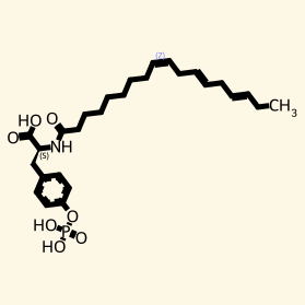 CCC=CCC=CC/C=C\CCCCCCCC(=O)N[C@@H](Cc1ccc(OP(=O)(O)O)cc1)C(=O)O